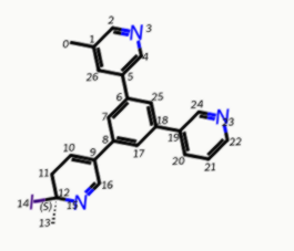 Cc1cncc(-c2cc(C3=CC[C@](C)(I)N=C3)cc(-c3cccnc3)c2)c1